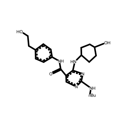 CCCCNc1ncc(C(=O)Nc2ccc(CCO)cc2)c(NC2CCC(O)CC2)n1